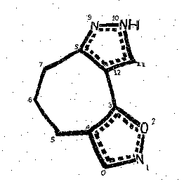 c1noc2c1CCCc1n[nH]cc1-2